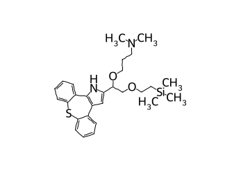 CN(C)CCCOC(COCC[Si](C)(C)C)c1cc2c([nH]1)-c1ccccc1Sc1ccccc1-2